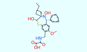 CCCC[C@]1(CC)C(O)Sc2cc(CNC(=O)C(=O)O)c(OC)cc2[C@@H](c2ccccc2)N1O